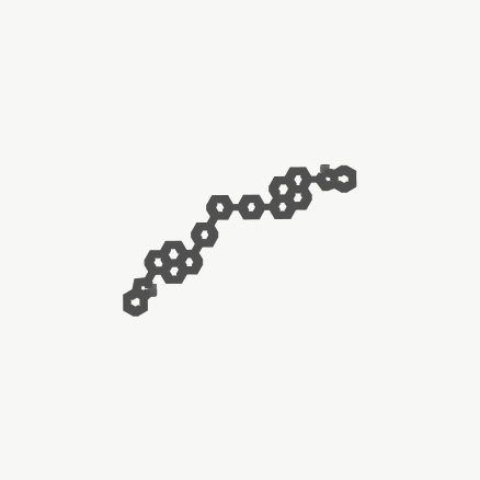 c1cc(-c2ccc(-c3ccc4ccc5c(-c6cc7ccccc7s6)ccc6ccc3c4c65)cc2)cc(-c2ccc(-c3ccc4ccc5c(-c6cc7ccccc7s6)ccc6ccc3c4c65)cc2)c1